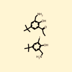 CC(C)(C)c1cc(I)c(O)c(CN)c1.CCC(=O)c1cc(C(C)(C)C)cc(CN)c1O